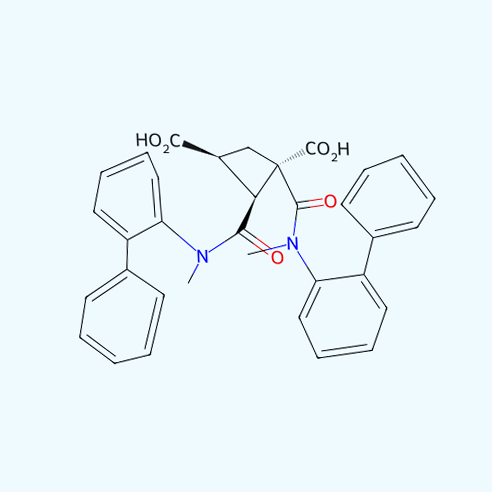 CN(C(=O)[C@H]1[C@@H](C(=O)O)C[C@@]1(C(=O)O)C(=O)N(C)c1ccccc1-c1ccccc1)c1ccccc1-c1ccccc1